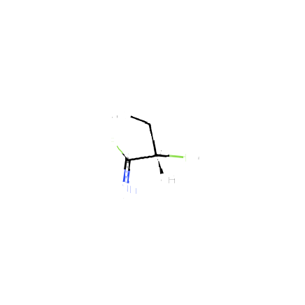 CC[C@](C)(F)C(=N)F